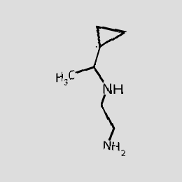 CC(NCCN)[C]1CC1